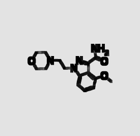 COc1cccc2c1c(C(N)=O)nn2CCN1CCOCC1